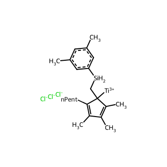 CCCCCC1=C(C)C(C)=C(C)[C]1([Ti+3])C[SiH2]c1cc(C)cc(C)c1.[Cl-].[Cl-].[Cl-]